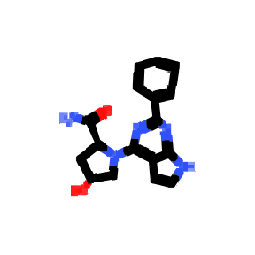 NC(=O)[C@@H]1C[C@@H](O)CN1c1nc(-c2ccccc2)nc2[nH]ccc12